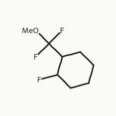 COC(F)(F)C1CCCCC1F